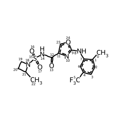 Cc1ccc(C(F)(F)F)cc1Nc1nc(C(=O)NS(=O)(=O)N2CCC2C)co1